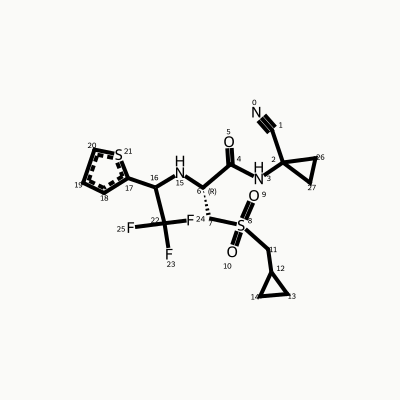 N#CC1(NC(=O)[C@H](CS(=O)(=O)CC2CC2)NC(c2cccs2)C(F)(F)F)CC1